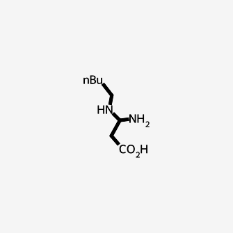 CCCCCNC(N)CC(=O)O